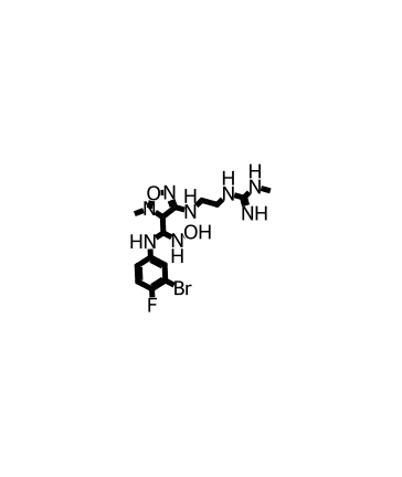 CNC(=N)NCCNC1=NON(C)C1C(NO)Nc1ccc(F)c(Br)c1